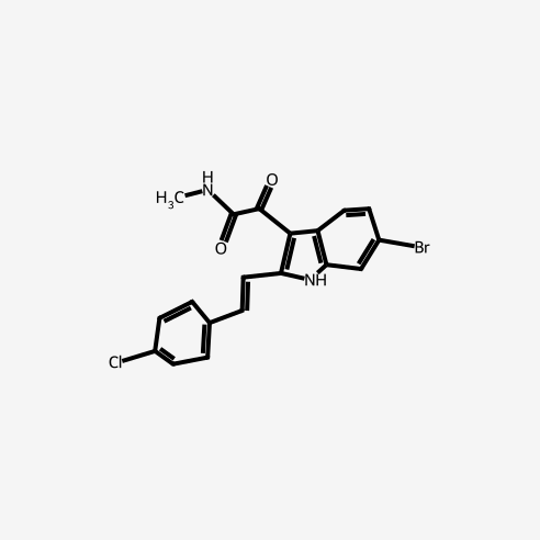 CNC(=O)C(=O)c1c(C=Cc2ccc(Cl)cc2)[nH]c2cc(Br)ccc12